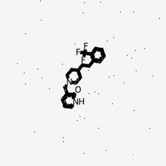 O=c1[nH]cccc1CN1CCC(CCc2ccccc2C(F)(F)F)CC1